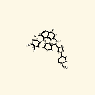 CC(C)(C)N1CCC(n2cc([C@@H](Nc3cc(Cl)c4ncc(C#N)c(Nc5cnc(F)c(Cl)c5)c4c3)c3ccccc3)nn2)CC1